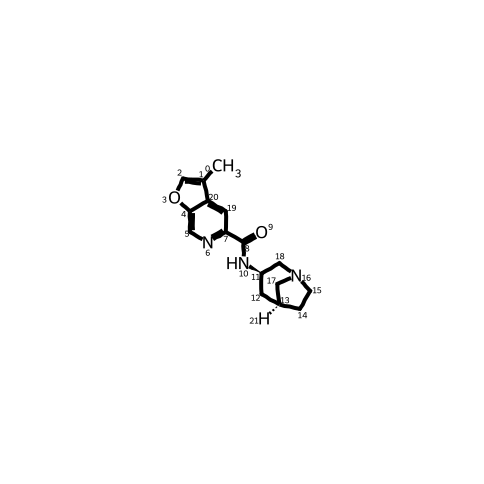 Cc1coc2cnc(C(=O)N[C@@H]3C[C@@H]4CCN(C4)C3)cc12